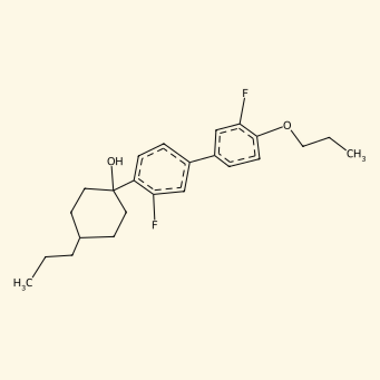 CCCOc1ccc(-c2ccc(C3(O)CCC(CCC)CC3)c(F)c2)cc1F